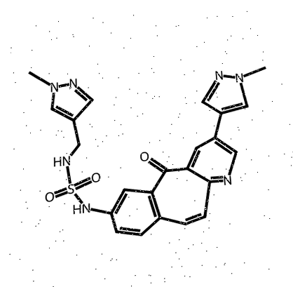 Cn1cc(CNS(=O)(=O)Nc2ccc3ccc4ncc(-c5cnn(C)c5)cc4c(=O)c3c2)cn1